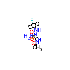 C[C@H]1Cn2ncc([S@](N)(=O)=NC(=O)Nc3c4c(c(F)c5c3CCC5)CCC4)c2O1